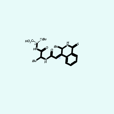 CCC(C)C(NC(=O)/C=C1/c2ccccc2C(=S)NC1C(C)CC)C(=O)N[C@H](C(=O)O)[C@@H](C)CC